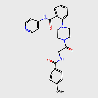 COc1ccc(C(=O)NCC(=O)N2CCN(c3ccccc3C(=O)Nc3ccncc3)CC2)cc1